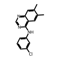 Cc1cc2ncnc(Nc3cccc(Cl)c3)c2cc1C